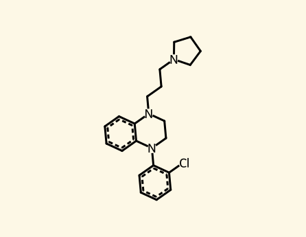 Clc1ccccc1N1CCN(CCCN2CCCC2)c2ccccc21